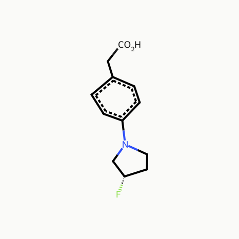 O=C(O)Cc1ccc(N2CC[C@H](F)C2)cc1